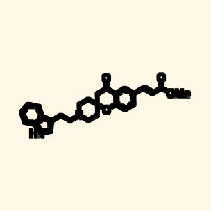 COC(=O)/C=C/c1ccc2c(c1)C(=O)CC1(CCN(CCc3c[nH]c4ccccc34)CC1)O2